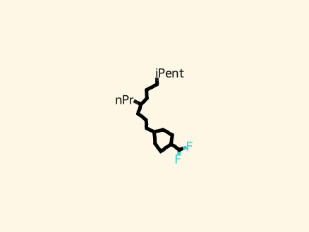 CCCC(C)CCCC(CCC)CCCC1CCC(C(F)F)CC1